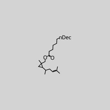 CCCCCCCCCCCCCCCC(=O)OCC1(C)CC1C(C)CC=C(C)C